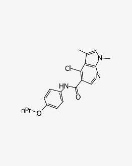 CCCOc1ccc(NC(=O)c2cnc3c(c(C)cn3C)c2Cl)cc1